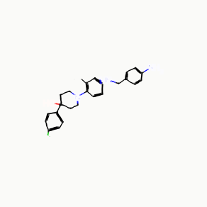 Cc1cc(NCc2ccc(N)cc2)ccc1N1CCC(O)(c2ccc(Cl)cc2)CC1